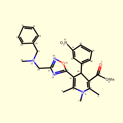 COC(=O)C1=C(C)N(C)C(C)=C(c2nc(CN(C)Cc3ccccc3)no2)C1c1cccc([N+](=O)[O-])c1